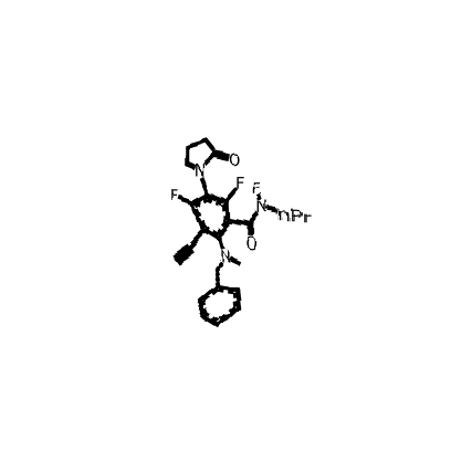 C#Cc1c(F)c(N2CCCC2=O)c(F)c(C(=O)N(F)CCC)c1N(C)Cc1ccccc1